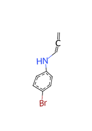 C=C=CNc1ccc(Br)cc1